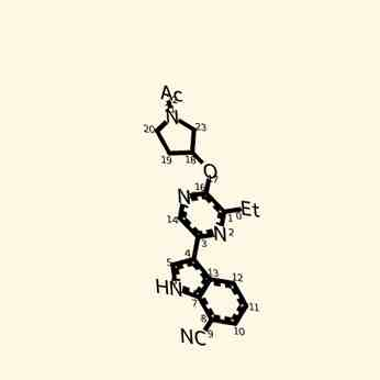 CCc1nc(-c2c[nH]c3c(C#N)cccc23)cnc1OC1CCN(C(C)=O)C1